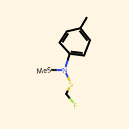 CSN(SCF)c1ccc(C)cc1